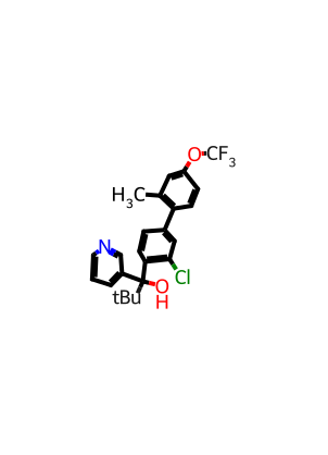 Cc1cc(OC(F)(F)F)ccc1-c1ccc(C(O)(c2cccnc2)C(C)(C)C)c(Cl)c1